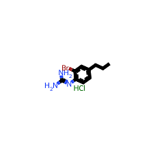 CCCc1ccc(N=C(N)N)c(Br)c1.Cl